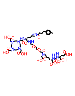 Cc1ccc(CCCC(=O)NCCCC[C@H](NC(=O)CN2CCN(CC(=O)O)CCN(CC(=O)O)CCN(CC(=O)O)CC2)C(=O)NCCOCCOCC(=O)N(CCCC[C@H](NC(=O)N[C@@H](CCC(=O)O)C(=O)O)C(=O)O)CC(=O)O)cc1